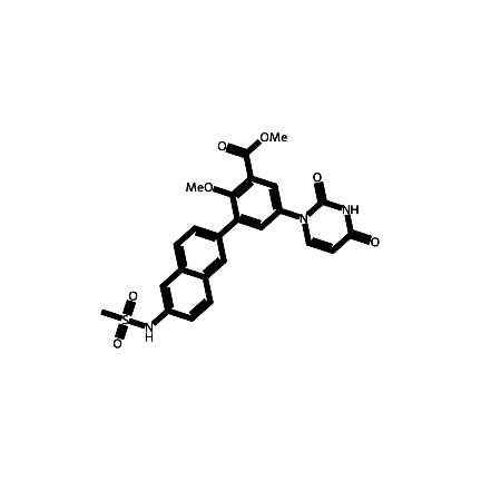 COC(=O)c1cc(-n2ccc(=O)[nH]c2=O)cc(-c2ccc3cc(NS(C)(=O)=O)ccc3c2)c1OC